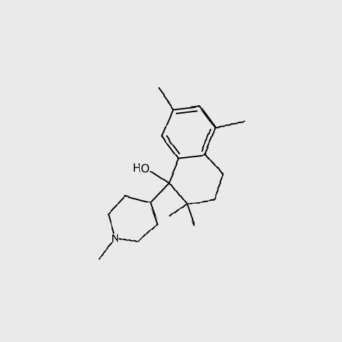 Cc1cc(C)c2c(c1)C(O)(C1CCN(C)CC1)C(C)(C)CC2